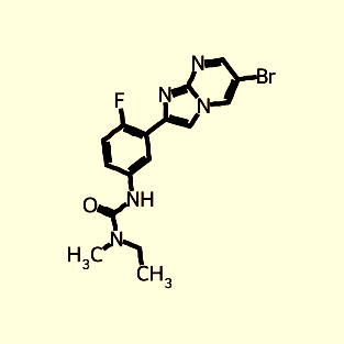 CCN(C)C(=O)Nc1ccc(F)c(-c2cn3cc(Br)cnc3n2)c1